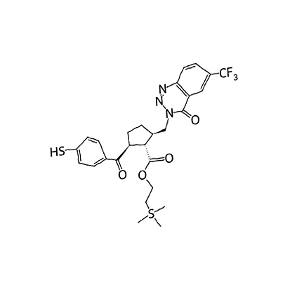 CS(C)(C)CCOC(=O)[C@H]1[C@H](Cn2nnc3ccc(C(F)(F)F)cc3c2=O)CC[C@@H]1C(=O)c1ccc(S)cc1